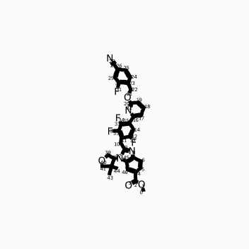 COC(=O)c1ccc2nc(Cc3c(F)cc(-c4cccc(OCc5ccc(C#N)cc5F)n4)c(F)c3F)n([C@@H]3COCC3(C)C)c2c1